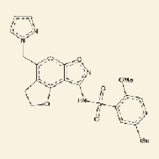 COc1ccc(C(C)(C)C)cc1S(=O)(=O)Nc1noc2cc(Cn3cccn3)c3c(c12)OCC3